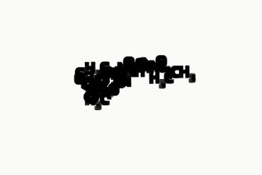 CC[C@@H](COC(c1ccccc1)(c1ccc(OC)cc1)c1ccc(OC)cc1)OCn1cnc2c(NC(=O)c3ccc(CNC(=O)CCC(C)C)cc3)ncnc21